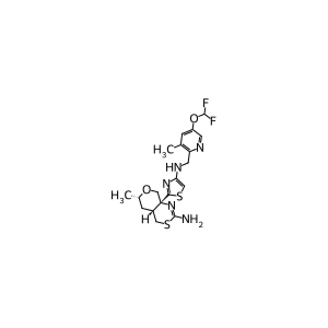 Cc1cc(OC(F)F)cnc1CNc1csc([C@]23CO[C@@H](C)C[C@H]2CSC(N)=N3)n1